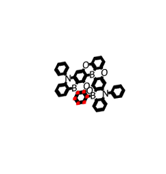 c1ccc(N2c3ccccc3B3c4ccccc4Oc4c5c(cc2c43)Oc2cccc3c2B5c2c(cc4c5c2Oc2ccccc2B5c2ccccc2N4c2ccccc2)O3)cc1